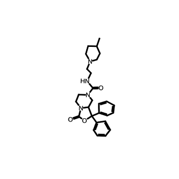 CC1CCN(CCNC(=O)N2CCN3C(=O)OC(c4ccccc4)(c4ccccc4)C3C2)CC1